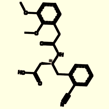 COc1cccc(CC(=O)N[C@@H](CC(=O)O)Cc2ccccc2C#N)c1OC